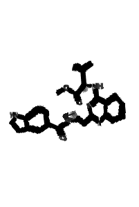 COC(=O)[C@@H](Nc1nc(CNC(=O)c2ccc3[nH]ccc3c2)nc2ccccc12)C(C)C